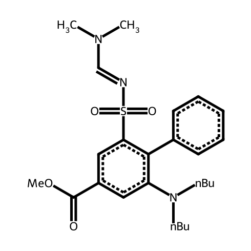 CCCCN(CCCC)c1cc(C(=O)OC)cc(S(=O)(=O)N=CN(C)C)c1-c1ccccc1